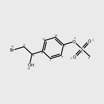 CS(=O)(=O)Oc1ccc(C(O)CBr)cc1